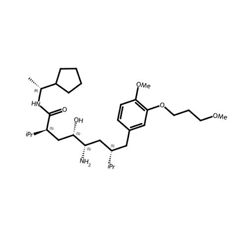 COCCCOc1cc(C[C@@H](C[C@H](N)[C@@H](O)C[C@H](C(=O)N[C@H](C)C2CCCC2)C(C)C)C(C)C)ccc1OC